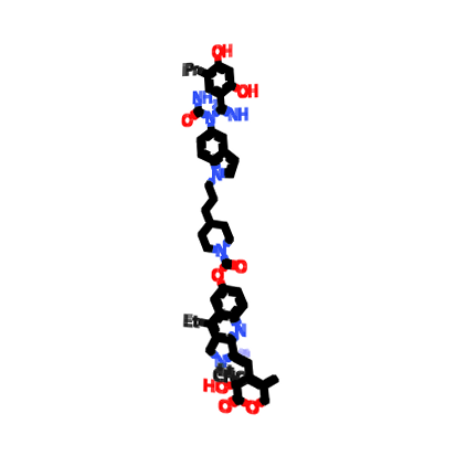 CCc1c2c(nc3ccc(OC(=O)N4CCC(CCCn5ccc6cc(N(C(=N)c7cc(C(C)C)c(O)cc7O)C(N)=O)ccc65)CC4)cc13)/C(=C/C1=C(C)COC(=O)C1(O)CC)N(C=O)C2